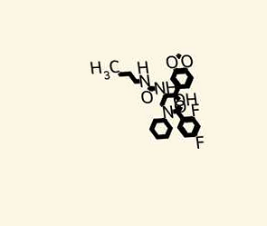 CCCCNC(=O)NC(CN(C(=O)c1ccc(F)cc1F)C1CCCCC1)C(O)c1ccc2c(c1)OCO2